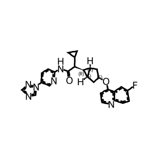 O=C(Nc1ccc(-n2cncn2)cn1)C(C1CC1)[C@H]1[C@@H]2C[C@@H](Oc3ccnc4ccc(F)cc34)C[C@@H]21